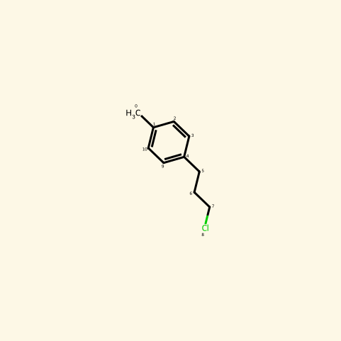 Cc1ccc(CCCCl)cc1